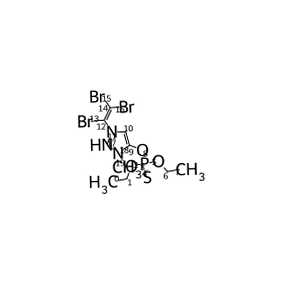 CCOP(=S)(OCC)OC1=CN(C(Br)=C(Br)Br)NN1C